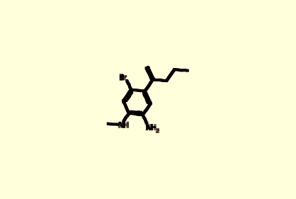 C=C(CCC)c1cc(N)c(NC)cc1Br